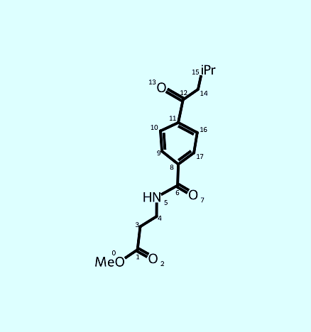 COC(=O)CCNC(=O)c1ccc(C(=O)CC(C)C)cc1